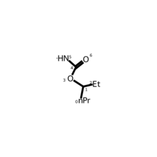 CCCC(CC)OC([NH])=O